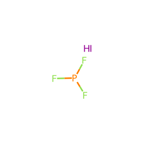 FP(F)F.I